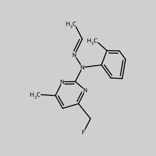 CC=NN(c1nc(C)cc(CF)n1)c1ccccc1C